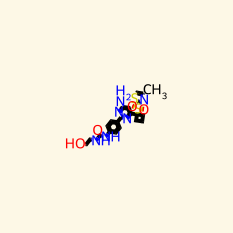 Cc1csc(S(=O)(=O)C2(c3cc(N)nc(-c4ccc(NC(=O)NCCO)cc4)n3)CCC2)n1